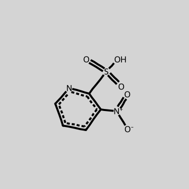 O=[N+]([O-])c1cccnc1S(=O)(=O)O